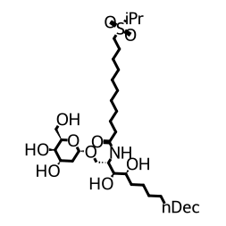 CCCCCCCCCCCCCC[C@@H](O)[C@@H](O)[C@H](CO[C@@H]1C[C@H](O)[C@@H](O)[C@@H](CO)O1)NC(=O)CCCCCCCCCCS(=O)(=O)C(C)C